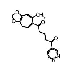 CC1=CC2=C(CC=C1C(=O)CCCC(=O)c1ccnnc1)OCO2